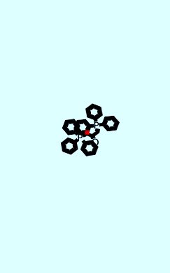 O=C(C=P(c1ccccc1)(c1ccccc1)c1ccccc1)C=P(c1ccccc1)(c1ccccc1)c1ccccc1